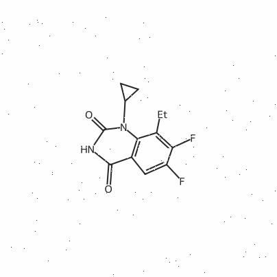 CCc1c(F)c(F)cc2c(=O)[nH]c(=O)n(C3CC3)c12